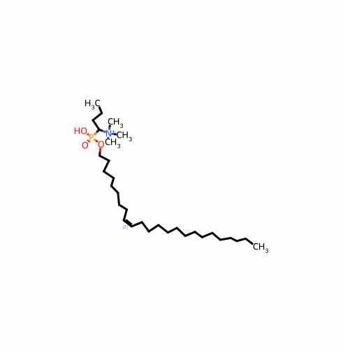 CCCCCCCCCCCCCC/C=C\CCCCCCCCOP(=O)(O)C(CCC)[N+](C)(C)C